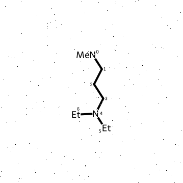 [CH]NCCCN(CC)CC